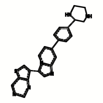 c1ncc2scc(-c3cnc4cc(-c5ccc(C6CNCCN6)cc5)ccn34)c2n1